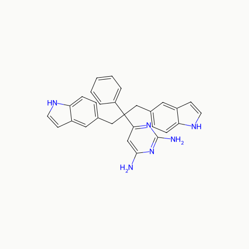 Nc1cc(C(Cc2ccc3[nH]ccc3c2)(Cc2ccc3[nH]ccc3c2)c2ccccc2)nc(N)n1